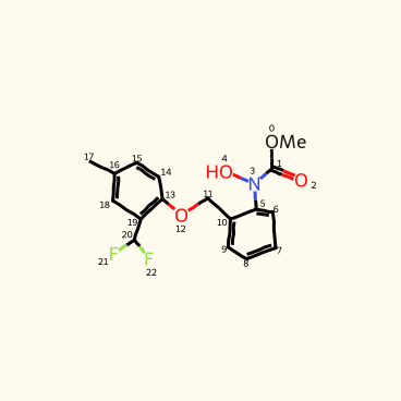 COC(=O)N(O)c1ccccc1COc1ccc(C)cc1C(F)F